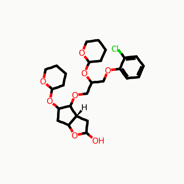 OC1C[C@@H]2C(CC(OC3CCCCO3)C2OCC(COc2ccccc2Cl)OC2CCCCO2)O1